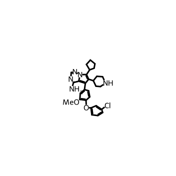 COc1cc(-c2c(C3CCNCC3)c(C3CCCC3)n3ncnc(N)c23)ccc1Oc1cccc(Cl)c1